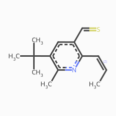 C/C=C\c1nc(C)c(C(C)(C)C)cc1C=S